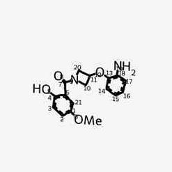 COc1ccc(O)c(C(=O)N2CC(Oc3ccccc3N)C2)c1